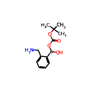 CC(C)(C)OC(=O)OB(O)c1ccccc1CN